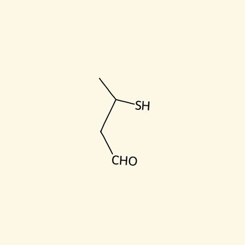 CC(S)CC=O